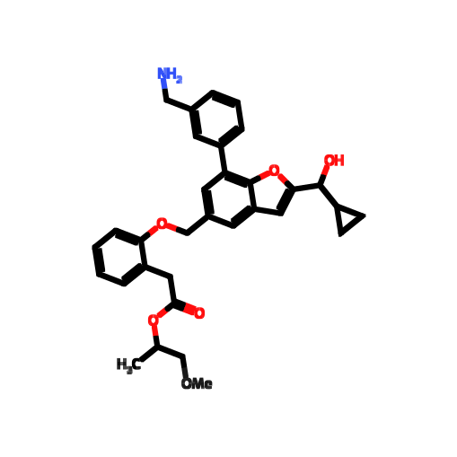 COCC(C)OC(=O)Cc1ccccc1OCc1cc(-c2cccc(CN)c2)c2oc(C(O)C3CC3)cc2c1